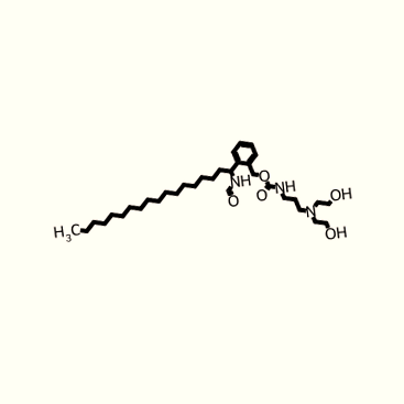 CCCCCCCCCCCCCCCCCC(NC=O)c1ccccc1COC(=O)NCCCN(CCO)CCO